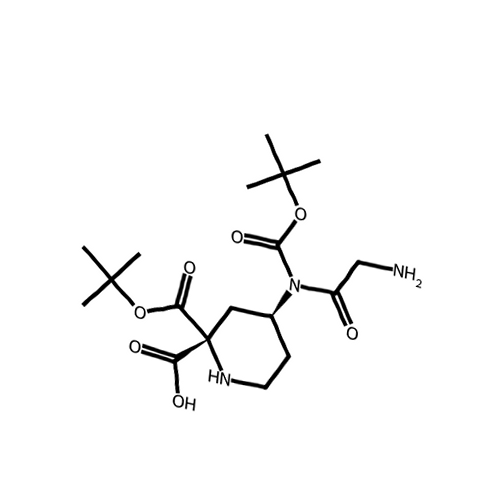 CC(C)(C)OC(=O)N(C(=O)CN)[C@H]1CCN[C@](C(=O)O)(C(=O)OC(C)(C)C)C1